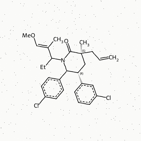 C=CC[C@@]1(C)C[C@H](c2cccc(Cl)c2)C(c2ccc(Cl)cc2)N(C(CC)C(C)=COC)C1=O